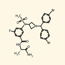 C[C@H](NC(=O)c1cc(F)cc(N(C2CN(C(c3ccc(Br)cc3)c3ccc(Br)cc3)C2)S(C)(=O)=O)c1)C(N)=O